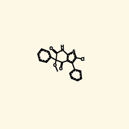 COC1(c2ccccc2)C(=O)Nc2sc(Cl)c(-c3ccccc3)c2C1=O